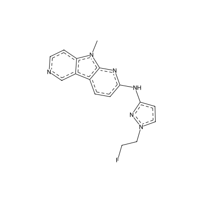 Cn1c2ccncc2c2ccc(Nc3ccn(CCF)n3)nc21